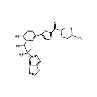 CN1CCN(C(=O)c2ccc(-c3ccc(=N)n(C(=N)C(F)(P)c4ccc5occc5c4)n3)s2)CC1